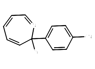 N#Cc1ccc(C2(Br)C=CC=CC=N2)cc1